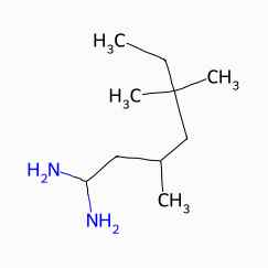 CCC(C)(C)CC(C)CC(N)N